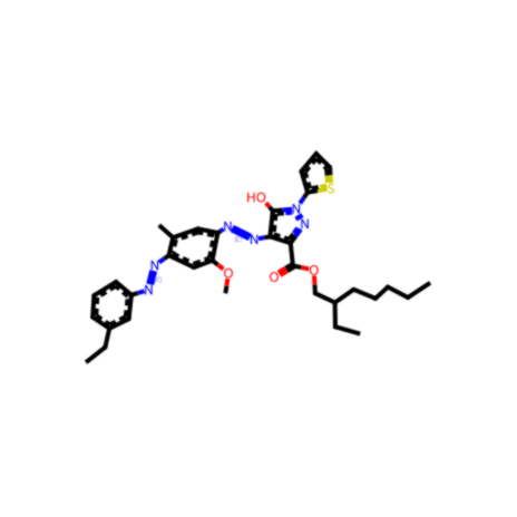 CCCCCC(CC)COC(=O)c1nn(-c2cccs2)c(O)c1/N=N/c1cc(C)c(/N=N/c2cccc(CC)c2)cc1OC